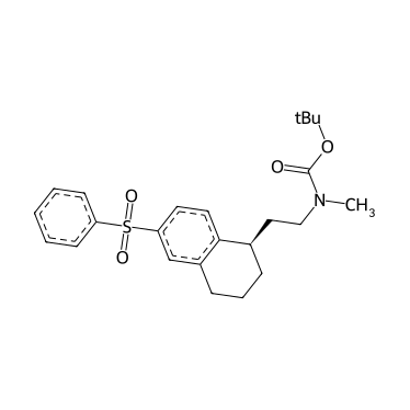 CN(CC[C@H]1CCCc2cc(S(=O)(=O)c3ccccc3)ccc21)C(=O)OC(C)(C)C